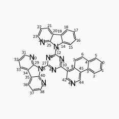 c1ccc2c(c1)ccc1c(-c3nc(-n4c5ccccc5c5cccnc54)nc(-n4c5ncccc5c5cccnc54)n3)cncc12